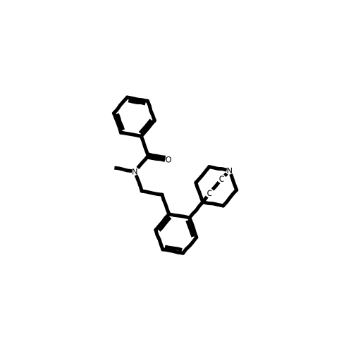 CN(CCc1ccccc1C12CCN(CC1)CC2)C(=O)c1ccccc1